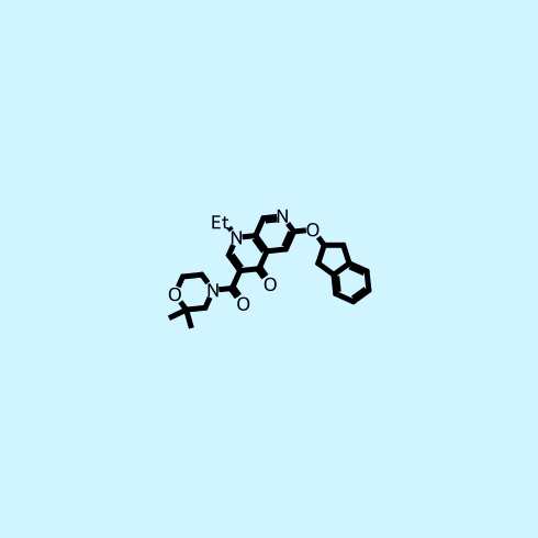 CCn1cc(C(=O)N2CCOC(C)(C)C2)c(=O)c2cc(OC3Cc4ccccc4C3)ncc21